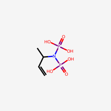 C=CC(C)N(P(=O)(O)O)P(=O)(O)O